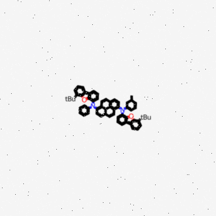 CC1C=CC=C(N(c2ccc3c4c2C=CC2C=CC(N(c5ccccc5)c5cccc6c5oc5c(C(C)(C)C)cccc56)=C(C=C3)C42)c2cccc3c2oc2c(C(C)(C)C)cccc23)C1